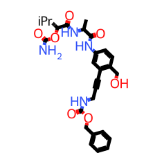 CC(NC(=O)C(OC(N)=O)C(C)C)C(=O)Nc1ccc(CO)c(C#CCNC(=O)OCc2ccccc2)c1